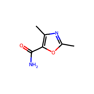 Cc1nc(C)c(C(N)=O)o1